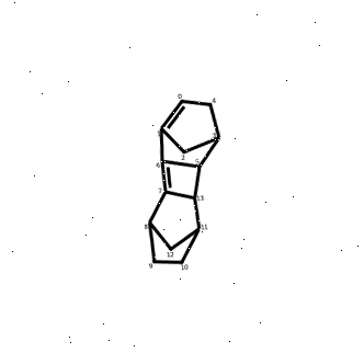 C1=C2CC(C1)C1C2=C2C3CCC(C3)C21